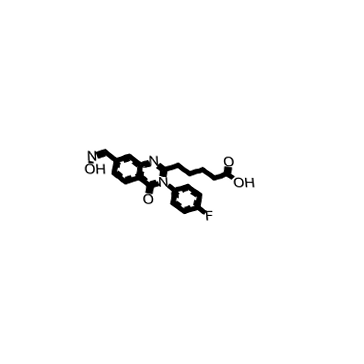 O=C(O)CCCCc1nc2cc(/C=N\O)ccc2c(=O)n1-c1ccc(F)cc1